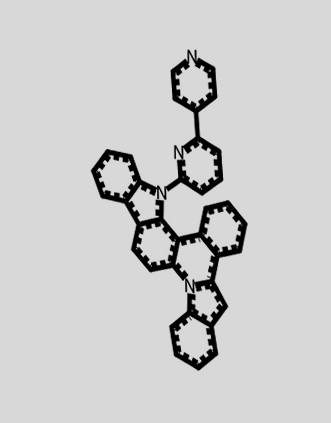 c1cc(-c2ccncc2)nc(-n2c3ccccc3c3ccc4c(c5ccccc5c5cc6ccccc6n54)c32)c1